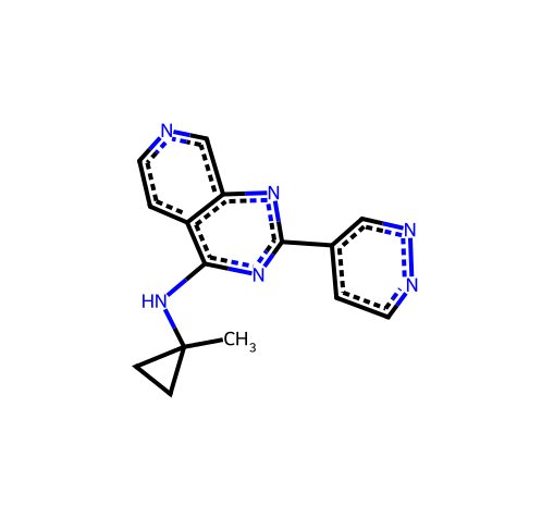 CC1(Nc2nc(-c3ccnnc3)nc3cnccc23)CC1